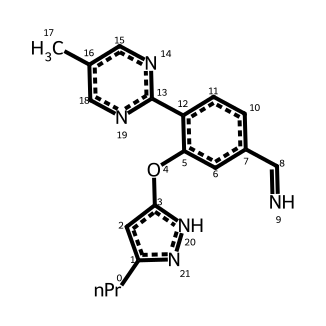 CCCc1cc(Oc2cc(C=N)ccc2-c2ncc(C)cn2)[nH]n1